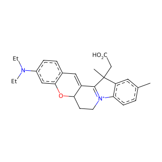 CCN(CC)c1ccc2c(c1)OC1CC[N+]3=C(C1=C2)C(C)(CC(=O)O)c1cc(C)ccc13